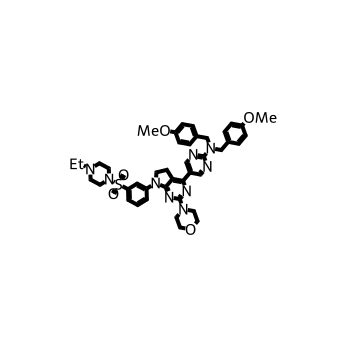 CCN1CCN(S(=O)(=O)c2cccc(N3CCc4c(-c5cnc(N(Cc6ccc(OC)cc6)Cc6ccc(OC)cc6)nc5)nc(N5CCOCC5)nc43)c2)CC1